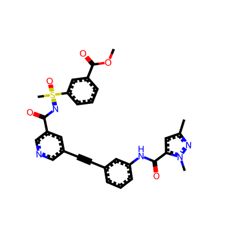 COC(=O)c1cccc(S(C)(=O)=NC(=O)c2cncc(C#Cc3cccc(NC(=O)c4cc(C)nn4C)c3)c2)c1